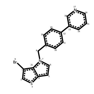 Brc1csc2ccn(Cc3ccc(-c4cccnc4)cc3)c12